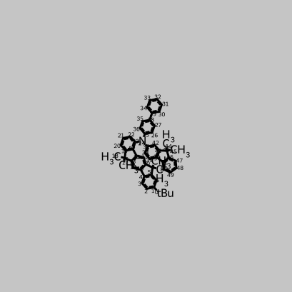 CC(C)(C)c1ccc2c(c1)C(C)(C)c1cc3c(cc1-2)C(C)(C)c1cccc(N(c2ccc(-c4ccccc4)cc2)c2ccc4c(c2)C(C)(C)c2ccccc2-4)c1-3